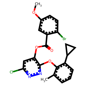 COc1ccc(Br)c(C(=O)Oc2cc(Cl)nnc2Oc2c(C)cccc2C2CC2)c1